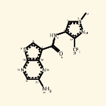 Cn1cc(NC(=O)c2csc3ncc(N)nc23)c(C(F)(F)F)n1